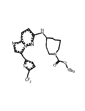 CC(C)(C)OC(=O)N1CCCC(Nc2ccc3ncc(-c4ccc(C(F)(F)F)s4)n3n2)CC1